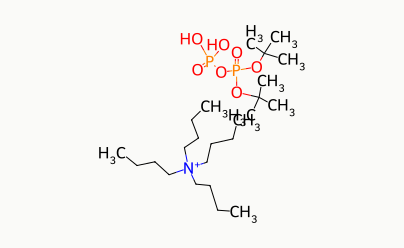 CC(C)(C)OP(=O)(OC(C)(C)C)OP(=O)(O)O.CCCC[N+](CCCC)(CCCC)CCCC